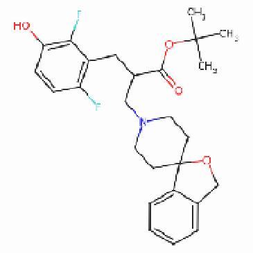 CC(C)(C)OC(=O)C(Cc1c(F)ccc(O)c1F)CN1CCC2(CC1)OCc1ccccc12